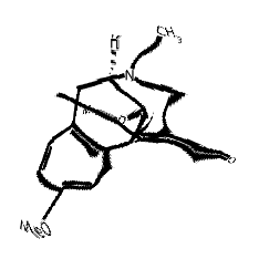 COc1ccc2c(c1)[C@]13CCN(C)[C@H](C2)[C@]1(OC)CCC(=O)C3